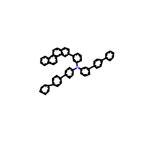 c1ccc(-c2ccc(-c3ccc(N(c4cccc(-c5ccc(-c6ccccc6)cc5)c4)c4cccc(-c5ccc6ccc7c8ccccc8ccc7c6c5)c4)cc3)cc2)cc1